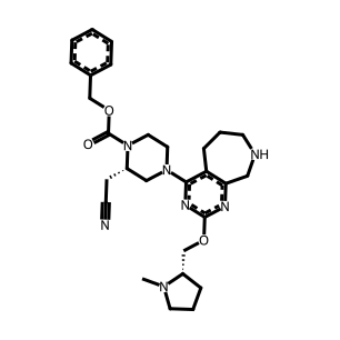 CN1CCC[C@H]1COc1nc2c(c(N3CCN(C(=O)OCc4ccccc4)[C@@H](CC#N)C3)n1)CCCNC2